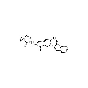 CC1(C(=O)NCc2cc3cc(Cl)c(-c4cc5ccccc5[nH]4)cc3[nH]2)CC1